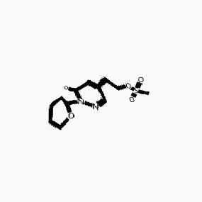 CS(=O)(=O)OCCc1cnn(C2CCCCO2)c(=O)c1